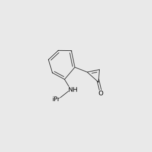 CC(C)Nc1ccccc1-c1cc1=O